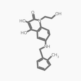 Cc1ccccc1CNc1ccc2c(c1)c(O)c(O)c(=O)n2CCO